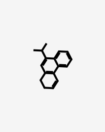 CC(C)c1cc2c(c3ccccc13)C=CCC2